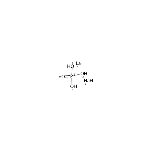 O=P(O)(O)O.[La].[NaH]